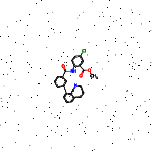 COC(=O)c1cc(Cl)ccc1NC(=O)c1cccc(-c2cccc3cccnc23)c1